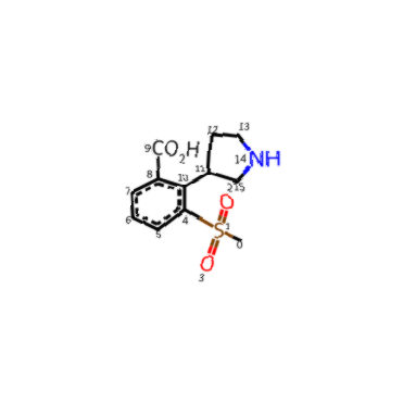 CS(=O)(=O)c1cccc(C(=O)O)c1C1CCNC1